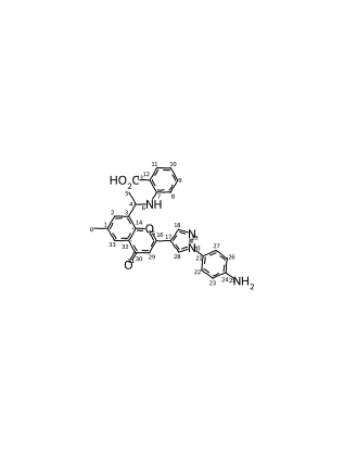 Cc1cc(C(C)Nc2ccccc2C(=O)O)c2oc(-c3cnn(-c4ccc(N)cc4)c3)cc(=O)c2c1